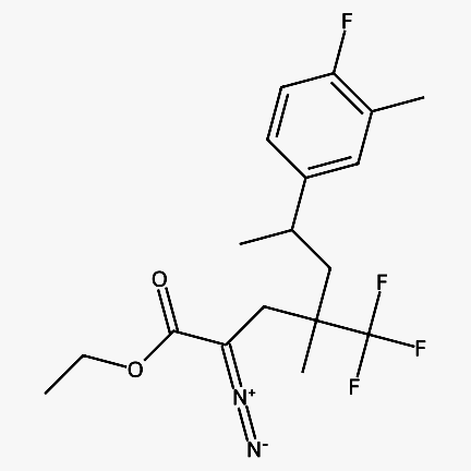 CCOC(=O)C(CC(C)(CC(C)c1ccc(F)c(C)c1)C(F)(F)F)=[N+]=[N-]